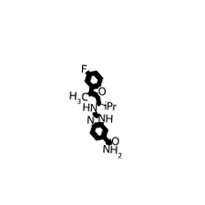 Cc1c([C@@H](Nc2nc3ccc(C(N)=O)cc3[nH]2)C(C)C)oc2ccc(F)cc12